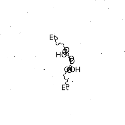 CC/C=C\C/C=C\C/C=C\C/C=C\C/C=C\CCCC(=O)Oc1ccc(/C=C/C(=O)CC(=O)/C=C/c2ccc(OC(=O)CCC/C=C\C/C=C\C/C=C\C/C=C\C/C=C\CC)c(O)c2)cc1O